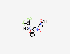 CC(=O)N1CCN(C(=O)N2CC[C@@H](C(=O)N(C)Cc3cc(C(F)(F)F)cc(C(F)(F)F)c3)[C@H](c3ccccc3)C2)CC1